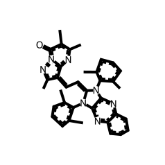 Cc1cccc(C)c1N1C(=C/C=c2/c(C)nn3c(=O)c(C)c(C)nc23)N(c2c(C)cccc2C)c2nc3ccccc3nc21